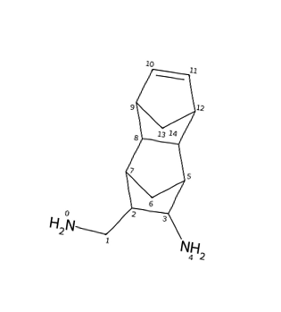 NCC1C(N)C2CC1C1C3C=CC(C3)C21